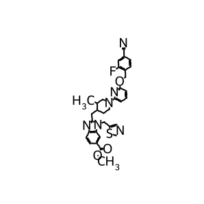 COC(=O)c1ccc2nc(CC3CCN(c4cccc(OCc5ccc(C#N)cc5F)n4)CC3C)n(Cc3cncs3)c2c1